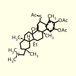 CC[C@@]12CC[C@]3(C)C(=CC(SC(C)=O)c4c3cc(OC(C)=O)c(OC(C)=O)c4C)[C@@]1(C)CC[C@@]1(C)CC[C@@](C)(CN(C)C)C[C@H]12